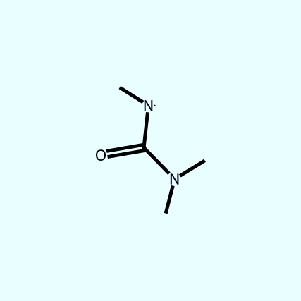 C[N]C(=O)N(C)C